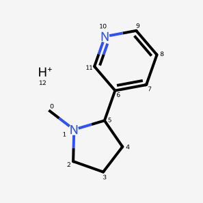 CN1CCCC1c1cccnc1.[H+]